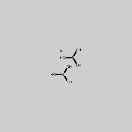 OB(O)O.OB(O)O.[N]